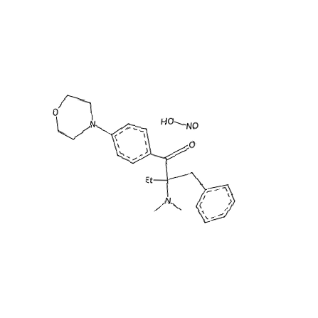 CCC(Cc1ccccc1)(C(=O)c1ccc(N2CCOCC2)cc1)N(C)C.O=NO